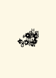 O=C(N1CCCC1)N1CCC(Nc2ncnc3ccc(-c4cnc(Cl)c(NS(=O)(=O)c5ccc(F)cc5F)c4)nc23)CC1